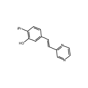 CC(C)c1ccc(/C=C/c2cnccn2)cc1O